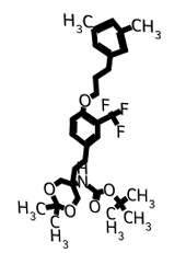 Cc1cc(C)cc(CCCOc2ccc(CCC3(NC(=O)OC(C)(C)C)COC(C)(C)OC3)cc2C(F)(F)F)c1